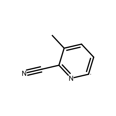 Cc1cc[c]nc1C#N